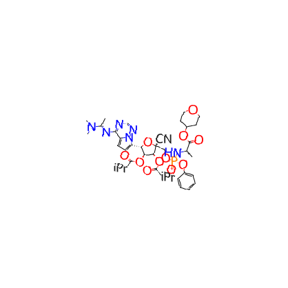 C/C(=N\c1ncnn2c([C@@H]3O[C@](C#N)(COP(=O)(NC(C)C(=O)OC4CCOCC4)Oc4ccccc4)[C@@H](OC(=O)C(C)C)[C@H]3OC(=O)C(C)C)ccc12)N(C)C